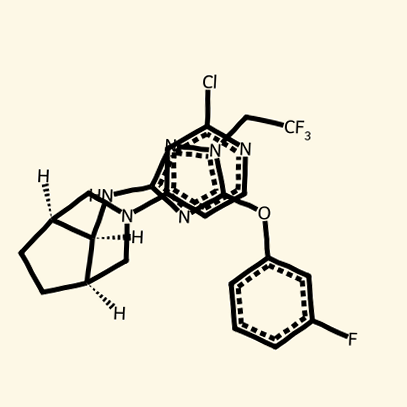 Fc1cccc(Oc2nc(N[C@H]3[C@@H]4CC[C@H]3CN(c3ccnc(Cl)c3)C4)nn2CC(F)(F)F)c1